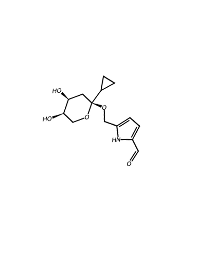 O=Cc1ccc(CO[C@]2(C3CC3)C[C@H](O)[C@H](O)CO2)[nH]1